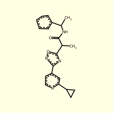 CC(NC(=O)C(C)c1nc(-c2ccnc(C3CC3)c2)no1)c1ccccc1